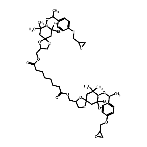 CCC1(CC)CC2(CC(C)(C)N1OC(C)c1ccc(OCC3CO3)cc1)OCC(COC(=O)CCCCCCC(=O)OCC1COC3(CC(C)(C)N(OC(C)c4ccc(OCC5CO5)cc4)C(CC)(CC)C3)O1)O2